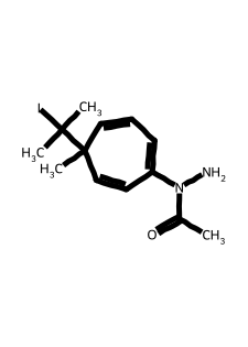 CC(=O)N(N)C1=CC=CC(C)(C(C)(C)I)C=C1